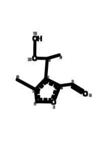 Cc1coc(C=O)c1C(C)OO